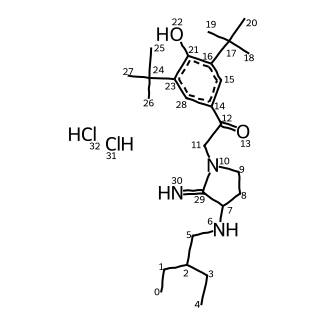 CCC(CC)CNC1CCN(CC(=O)c2cc(C(C)(C)C)c(O)c(C(C)(C)C)c2)C1=N.Cl.Cl